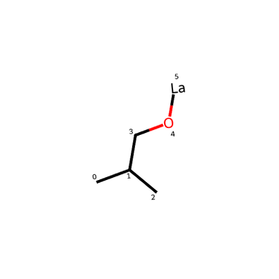 CC(C)C[O][La]